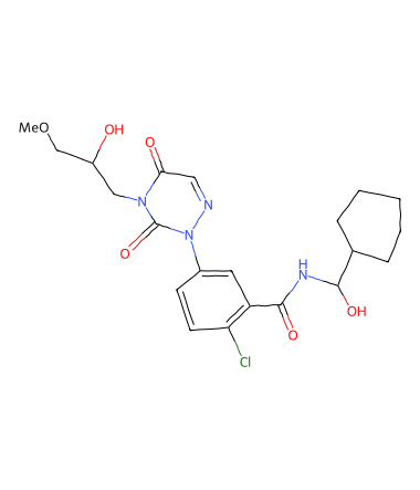 COCC(O)Cn1c(=O)cnn(-c2ccc(Cl)c(C(=O)NC(O)C3CCCCC3)c2)c1=O